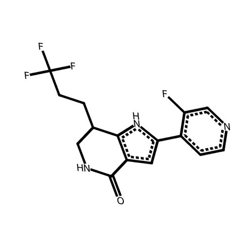 O=C1NCC(CCC(F)(F)F)c2[nH]c(-c3ccncc3F)cc21